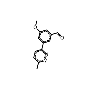 COc1cc(C=O)cc(-c2ccc(C)nn2)c1